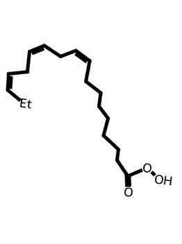 CC/C=C\C/C=C\C/C=C\CCCCCCCC(=O)OO